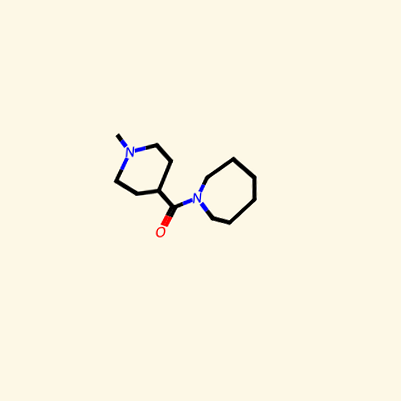 CN1CCC(C(=O)N2CCCCCC2)CC1